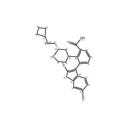 O=C(O)c1cccc(-c2c(F)sc3cc(Cl)ccc23)c1N1CCO[C@H](CNC2CCC2)C1